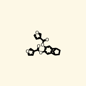 O=C(Oc1cc2c(cc1OC(=O)c1ccoc1)C1CCC2C1)c1ccoc1